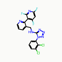 Fc1cc(F)c(-c2ncccc2CNc2nnnn2-c2cccc(Cl)c2Cl)c(F)n1